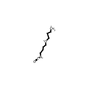 CCCCOCCCCN=C=O